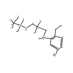 CCc1ccc(Br)cc1N(C)CC(C)(C)CO[Si](C)(C)C(C)(C)C